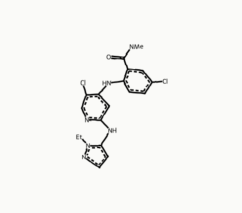 CCn1nccc1Nc1cc(Nc2ccc(Cl)cc2C(=O)NC)c(Cl)cn1